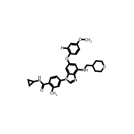 COc1ccc(Oc2cc(NCC3CCOCC3)c3ncn(-c4ccc(C(=O)NC5CC5)c(C)c4)c3c2)c(F)c1